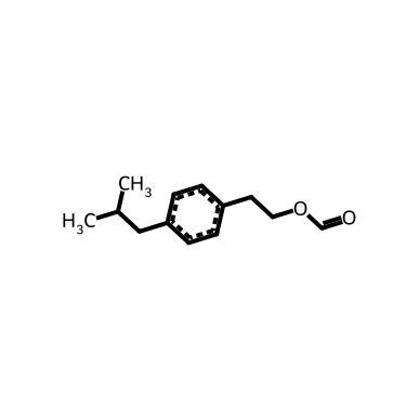 CC(C)Cc1ccc(CCOC=O)cc1